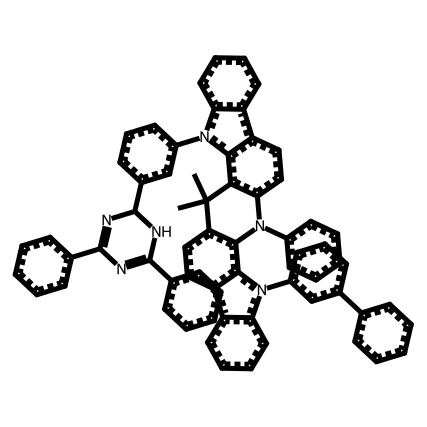 CC1(C)c2ccc3c4ccccc4n(-c4cccc(-c5ccccc5)c4)c3c2N(c2ccccc2)c2ccc3c4ccccc4n(-c4cccc(C5N=C(c6ccccc6)N=C(c6ccccc6)N5)c4)c3c21